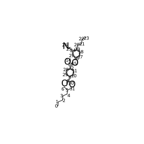 CCCCCC1COC(c2ccc(C(=O)Oc3ccc(CCCC)c(C#N)c3)cc2)OC1